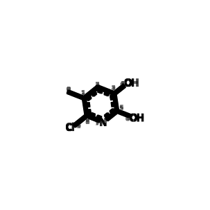 Cc1cc(O)c(O)nc1Cl